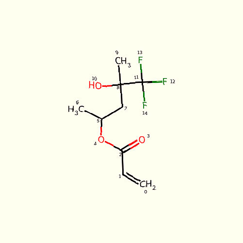 C=CC(=O)OC(C)CC(C)(O)C(F)(F)F